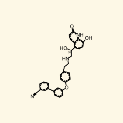 N#Cc1cccc(-c2cccc(Oc3ccc(CCNC[C@@H](O)c4ccc(O)c5[nH]c(=O)ccc45)cc3)c2)c1